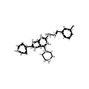 Cc1cccc(/C=N/Nc2nc(N3CCOCC3)c3sc(-c4ccncc4)nc3n2)c1